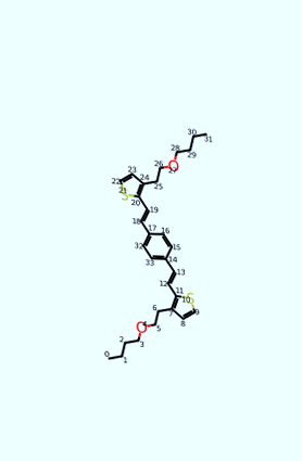 CCCCOCCc1ccsc1/C=C/c1ccc(/C=C/c2sccc2CCOCCCC)cc1